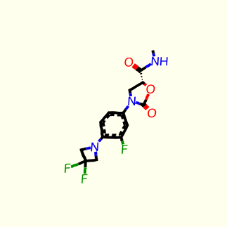 CNC(=O)[C@H]1CN(c2ccc(N3CC(F)(F)C3)c(F)c2)C(=O)O1